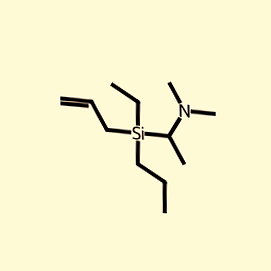 C=CC[Si](CC)(CCC)C(C)N(C)C